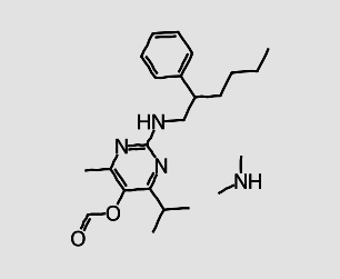 CCCCC(CNc1nc(C)c(OC=O)c(C(C)C)n1)c1ccccc1.CNC